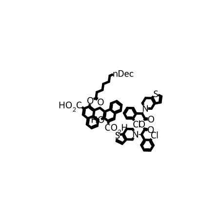 CCCCCCCCCCCCCCCC(=O)Oc1c(C(=O)O)cc2ccccc2c1Cc1c(O)c(C(=O)O)cc2ccccc12.O=C(OC(=O)[C@H](c1ccccc1Cl)N1CCc2sccc2C1)[C@H](c1ccccc1Cl)N1CCc2sccc2C1